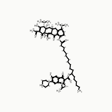 CCCCCCC(CCCCCCCCCCC(=O)Oc1ccc(N(C)C)c2c1C(=O)C1=C(O)[C@@]3(O)C(=O)C(C(N)=O)=C(O)[C@H](N(C)C)[C@H]3C[C@H]1C2)OC(=O)c1c2n(c3cc(N4CCNCC4)c(F)cc3c1=O)C(C)S2